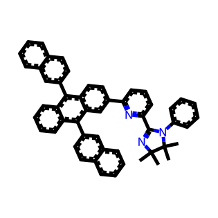 CC1(C)N=C(c2cccc(-c3ccc4c(-c5ccc6ccccc6c5)c5ccccc5c(-c5ccc6ccccc6c5)c4c3)n2)N(c2ccccc2)C1(C)C